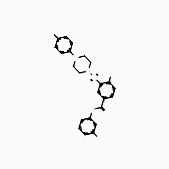 O=C(Nc1cccc(Cl)c1)c1ccc(F)c(S(=O)(=O)N2CCN(c3ccc(F)cc3)CC2)c1